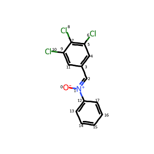 [O-][N+](=Cc1cc(Cl)c(Cl)c(Cl)c1)c1ccccc1